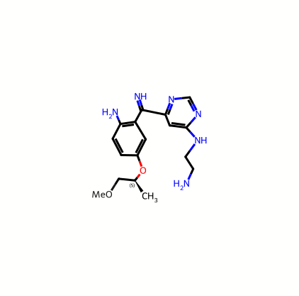 COC[C@H](C)Oc1ccc(N)c(C(=N)c2cc(NCCN)ncn2)c1